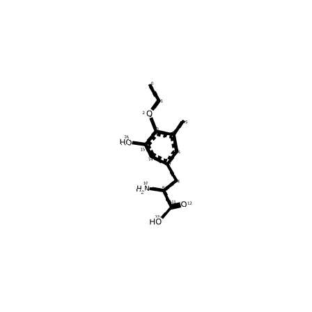 CCOc1c(C)cc(CC(N)C(=O)O)cc1O